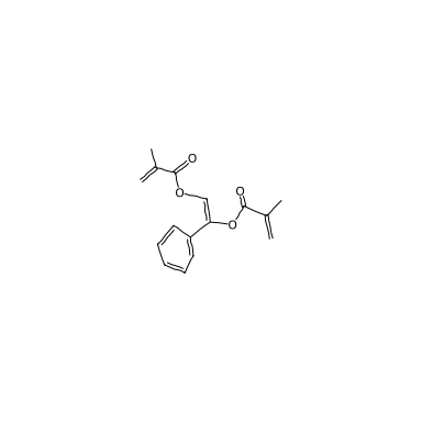 C=C(C)C(=O)O/C=C(/OC(=O)C(=C)C)c1ccccc1